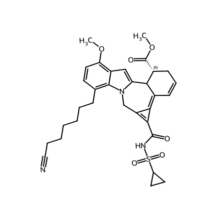 COC(=O)[C@@H]1CC=CC2=C3C(=C3C(=O)NS(=O)(=O)C3CC3)Cn3c(cc4c(OC)ccc(CCCCCCC#N)c43)C21